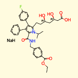 CCOC(=O)c1ccc(CNC(=O)c2c(-c3ccccc3)c(-c3ccc(F)cc3)c(CC[C@@H](O)C[C@@H](O)CC(=O)O)n2C(C)C)cc1.[NaH]